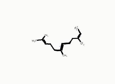 C/C=C(\CC/C=C(\C)CCC=C(C)C)C(F)(F)F